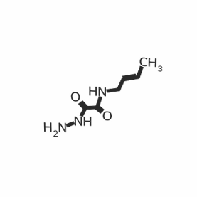 CC=CCNC(=O)C(=O)NN